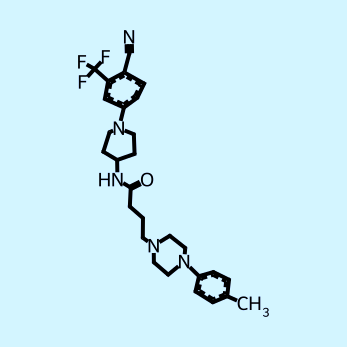 Cc1ccc(N2CCN(CCCC(=O)NC3CCN(c4ccc(C#N)c(C(F)(F)F)c4)CC3)CC2)cc1